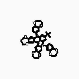 CC(C)(C)c1cc2c3c(c1)N(c1ccc4c(c1)OCCCO4)c1cc4c(cc1B3c1cc3c(cc1N2c1ccc2c(c1)OCCCO2)OCCCO3)OCCCO4